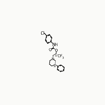 O=C(Nc1ccc(Cl)cc1)O[C@@H](CN1CCC[C@H](c2ccccc2)C1)C(F)(F)F